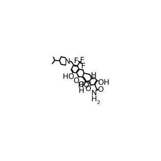 CC(C)C1CCN(Cc2cc(O)c3c(c2C(F)(F)F)CC2C[C@H]4CC(O)=C(C(N)=O)C(=O)[C@@]4(O)C(O)=C2C3=O)CC1